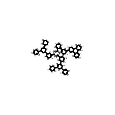 c1ccc(-c2cc(-c3ccccc3)cc(-c3cccc(-c4nc(-c5cccc(-c6cc(-c7ccccc7)cc(-c7ccccc7)c6)c5)nc(-c5ccccc5-c5cccc(-c6ccc7c8ccccc8c8ccccc8c7c6)c5)n4)c3)c2)cc1